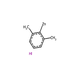 Cc1cccc(C)[c]1[Zn].I